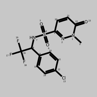 Cn1nc(S(=O)(=O)NC(c2ccc(Cl)cc2)C(F)(F)F)ccc1=O